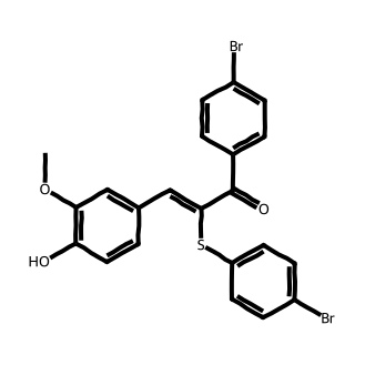 COc1cc(C=C(Sc2ccc(Br)cc2)C(=O)c2ccc(Br)cc2)ccc1O